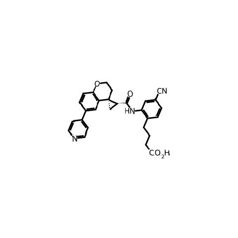 N#Cc1ccc(CCCC(=O)O)c(NC(=O)[C@@H]2C[C@]23CCOc2ccc(-c4ccncc4)cc23)c1